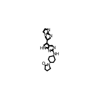 O=C1CCCN1[C@H]1CC[C@@H](Nc2ncc3c(-c4cnc5nccn5c4)c[nH]c3n2)CC1